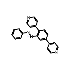 c1ccc(/N=N/c2cc(-c3ccncc3)ccc2-c2ccncc2)cc1